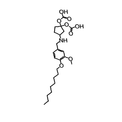 CCCCCCCCCOc1ccc(CNC2CCC(OC(=O)O)(OC(=O)O)C2)cc1OC